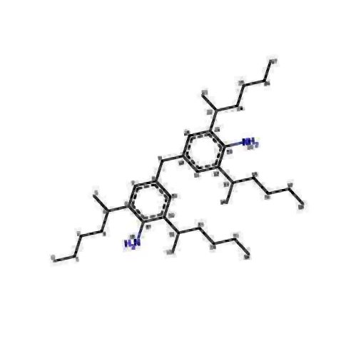 CCCCC(C)c1cc(Cc2cc(C(C)CCCC)c(N)c(C(C)CCCC)c2)cc(C(C)CCCC)c1N